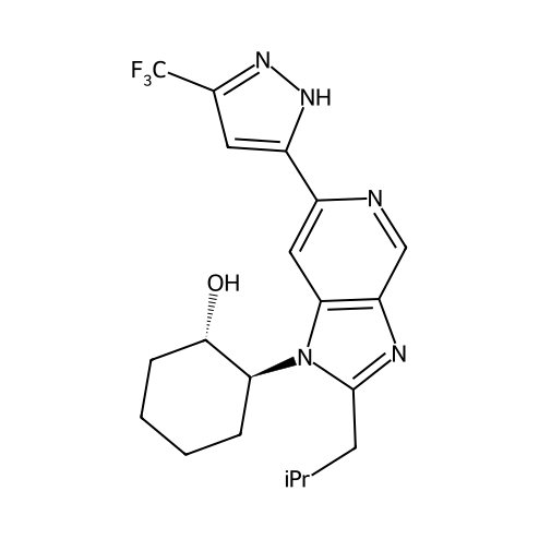 CC(C)Cc1nc2cnc(-c3cc(C(F)(F)F)n[nH]3)cc2n1[C@H]1CCCC[C@@H]1O